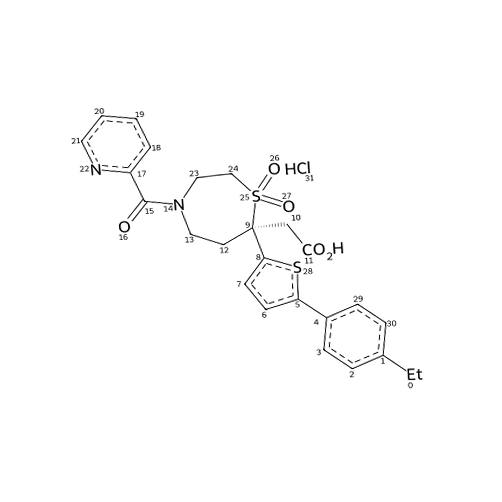 CCc1ccc(-c2ccc([C@@]3(CC(=O)O)CCN(C(=O)c4ccccn4)CCS3(=O)=O)s2)cc1.Cl